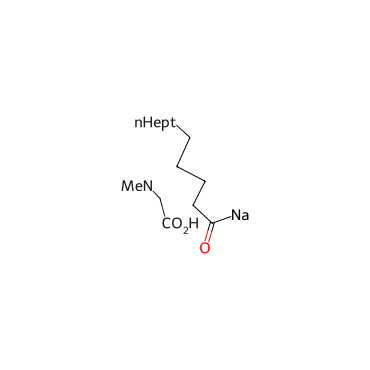 CCCCCCCCCCC[C](=O)[Na].CNCC(=O)O